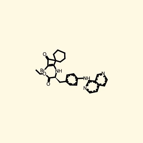 CCOC(=O)[C@H](Cc1ccc(Nc2nccc3ccncc23)cc1)NC1=C(Br)C(=O)C12CCCCC2